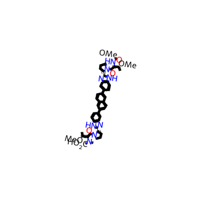 COC(=O)N[C@H](C(=O)N1CCC[C@H]1c1nc2cc(-c3ccc4cc(-c5ccc6[nH]c([C@@H]7CCCN7C(=O)[C@H]([C@@H](C)OC)N(C)C(=O)O)nc6c5)ccc4c3)ccc2[nH]1)C(C)OC